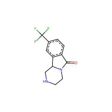 O=C1c2ccc(C(F)(F)F)cc2C2CNCCN12